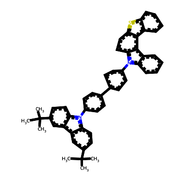 CC(C)(C)c1ccc2c(c1)c1cc(C(C)(C)C)ccc1n2-c1ccc(-c2ccc(-n3c4ccccc4c4c5c(ccc43)sc3ccccc35)cc2)cc1